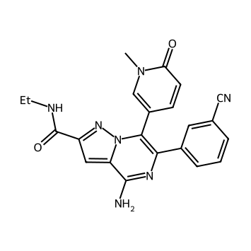 CCNC(=O)c1cc2c(N)nc(-c3cccc(C#N)c3)c(-c3ccc(=O)n(C)c3)n2n1